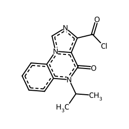 CC(C)n1c(=O)c2c(C(=O)Cl)ncn2c2ccccc21